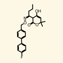 CCCC(=NOCc1ccc(-c2ccc(F)cc2)cc1)C1C(=O)OC(C)(C)C=C1O